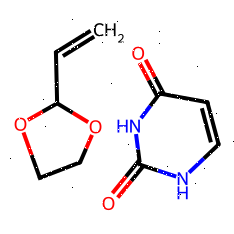 C=CC1OCCO1.O=c1cc[nH]c(=O)[nH]1